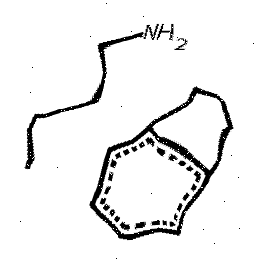 CCCCN.c1ccc2c(c1)CC2